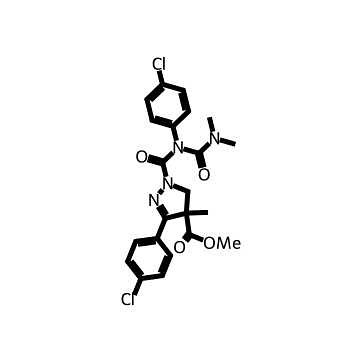 COC(=O)C1(C)CN(C(=O)N(C(=O)N(C)C)c2ccc(Cl)cc2)N=C1c1ccc(Cl)cc1